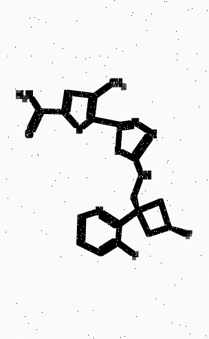 Cc1cc(C(N)=O)sc1-c1nnc(NC[C@]2(c3ncccc3F)C[C@H](F)C2)s1